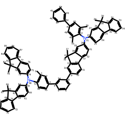 Cc1cc(-c2cccc(-c3ccc4c(c3)C(C)(C)c3cc(N(c5ccc6c(c5)C(C)(C)c5ccccc5-6)c5c(C)cc(-c6ccccc6)cc5C)ccc3-4)c2)ccc1N(c1ccc2c(c1)C(C)(C)c1ccccc1-2)c1ccc2c(c1)C(C)(C)c1ccccc1-2